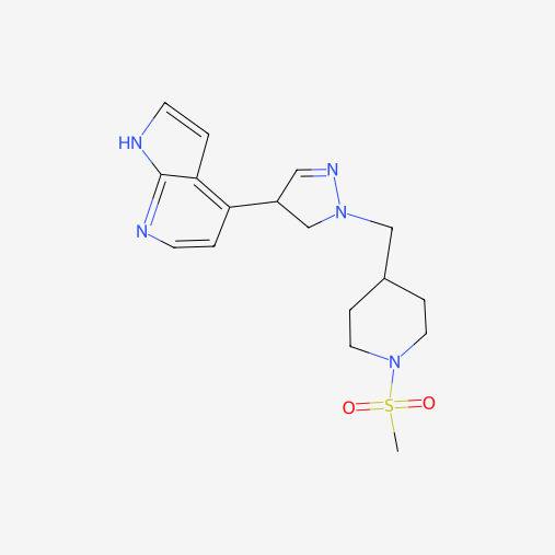 CS(=O)(=O)N1CCC(CN2CC(c3ccnc4[nH]ccc34)C=N2)CC1